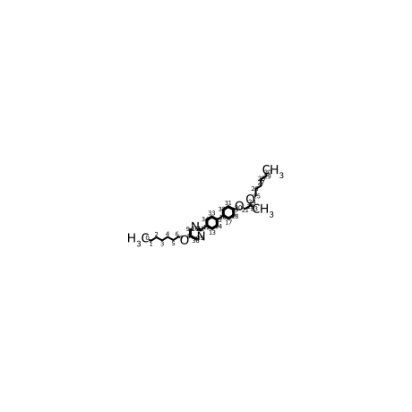 CCCCCCCOc1cnc(-c2ccc(-c3ccc(OCC(C)OCCCCCC)cc3)cc2)nc1